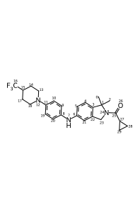 CC1(C)c2ccc(Nc3ccc(N4CCC(C(F)(F)F)CC4)cc3)cc2CN1C(=O)C1CC1